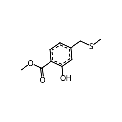 COC(=O)c1ccc(CSC)cc1O